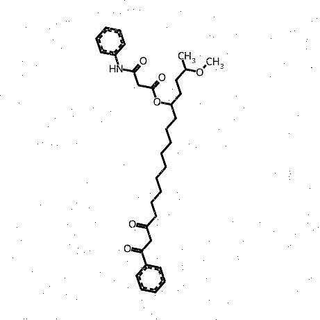 COC(C)CCC(CCCCCCCCCC(=O)CC(=O)c1ccccc1)OC(=O)CC(=O)Nc1ccccc1